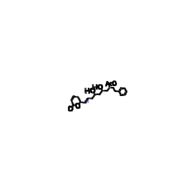 CC(=O)OC(CCc1ccccc1)CC(O)CC(O)C/C=C/C1CC=CC(=O)O1